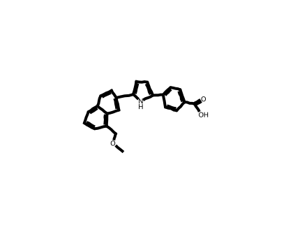 COCc1cccc2ccc(-c3ccc(-c4ccc(C(=O)O)cc4)[nH]3)cc12